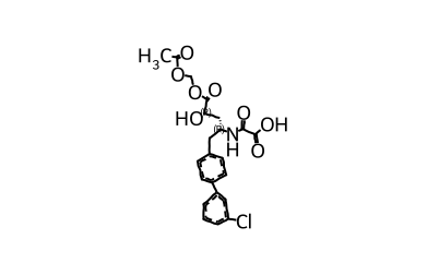 CC(=O)OCOC(=O)[C@H](O)C[C@@H](Cc1ccc(-c2cccc(Cl)c2)cc1)NC(=O)C(=O)O